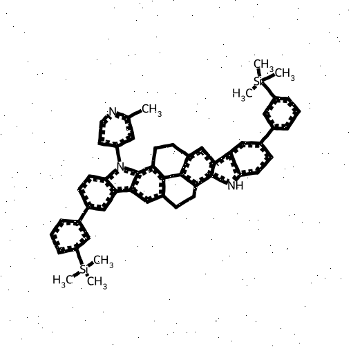 Cc1cc(-n2c3ccc(-c4cccc([Si](C)(C)C)c4)cc3c3cc4c5c(c32)CCc2cc3c([nH]c6ccc(-c7cccc([Si](C)(C)C)c7)cc63)c(c2-5)CC4)ccn1